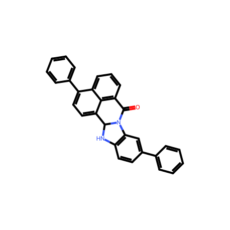 O=C1c2cccc3c(-c4ccccc4)ccc(c23)C2Nc3ccc(-c4ccccc4)cc3N12